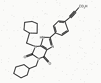 O=C(O)C#Cc1ccc(-c2nc3c(=O)n(CC4CCCCC4)c(=O)n(CC4CCCCC4)c3[nH]2)cc1